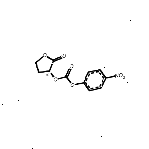 O=C(Oc1ccc([N+](=O)[O-])cc1)O[C@H]1CCOC1=O